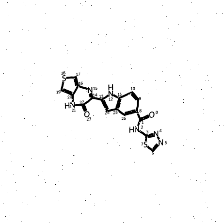 O=C(Nc1nncs1)c1ccc2[nH]c(-c3nc4cscc4[nH]c3=O)cc2c1